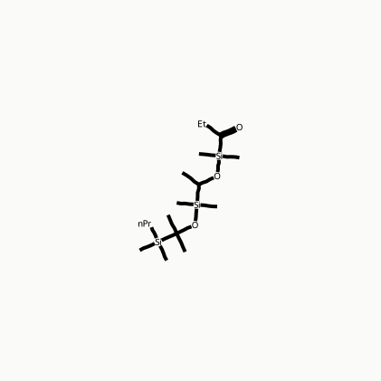 CCC[Si](C)(C)C(C)(C)O[Si](C)(C)C(C)O[Si](C)(C)C(=O)CC